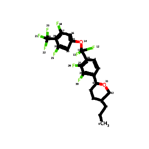 CCCC1CCC(c2ccc(C(F)(F)Oc3cc(F)c(C(F)(F)F)c(F)c3)c(F)c2F)OC1